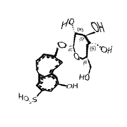 O=S(=O)(O)c1cc(O)c2cc(O[C@H]3O[C@H](CO)[C@@H](O)[C@H](O)[C@H]3O)ccc2c1